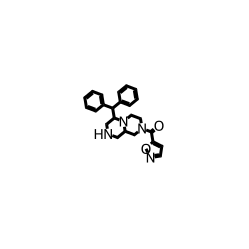 O=C(c1ccno1)N1CCN2C(CNCC2C(c2ccccc2)c2ccccc2)C1